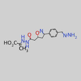 C[C@H](NNC(=O)CC1CC(c2ccc(C=NN)cc2)=NO1)C(=O)O